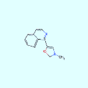 CN1C=C(c2nccc3ccccc23)OC1